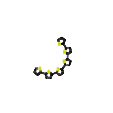 c1csc(-c2ccc(-c3ccc(-c4ccc(-c5ccc(-c6cccs6)s5)s4)s3)s2)c1